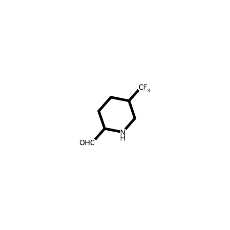 O=CC1CCC(C(F)(F)F)CN1